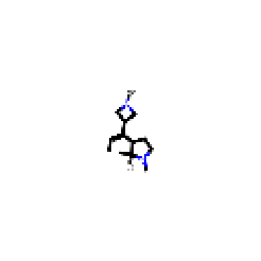 C/C=C(/C1CN(C(C)=O)C1)C1CCN(C)C1(C)CC